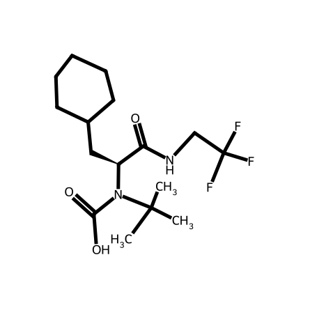 CC(C)(C)N(C(=O)O)[C@@H](CC1CCCCC1)C(=O)NCC(F)(F)F